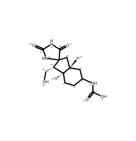 O=C(O)NC1CC[C@@H]2[C@@H](C1)CC1(NC(=O)NC1=O)[C@H]2CO